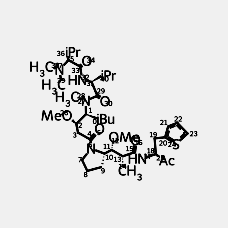 CCC(C)[C@@H]([C@@H](CC(=O)N1CCC[C@H]1[C@H](OC)[C@@H](C)C(=O)NC(Cc1cccs1)C(C)=O)OC)N(C)C(=O)[C@@H](NC(=O)[C@H](C(C)C)N(C)C)C(C)C